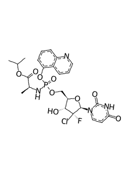 CC(C)OC(=O)[C@H](C)NP(=O)(OC[C@H]1O[C@@H](n2ccc(=O)[nH]c2=O)[C@@](F)(Cl)[C@@H]1O)Oc1cccc2ncccc12